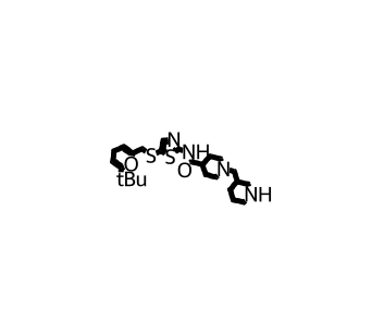 CC(C)(C)C1=CCC=C(CSc2cnc(NC(=O)C3CCN(CC4CCCNC4)CC3)s2)O1